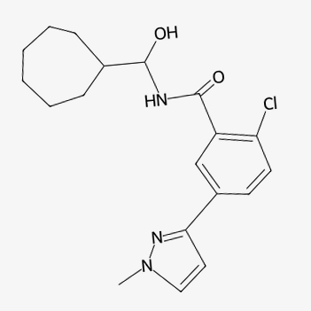 Cn1ccc(-c2ccc(Cl)c(C(=O)NC(O)C3CCCCCC3)c2)n1